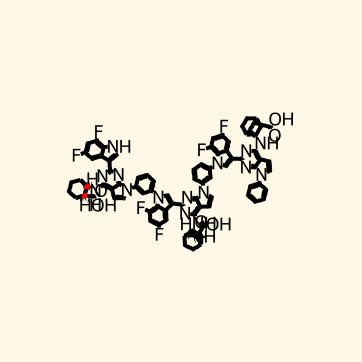 O=C(O)C1C2CCC(CC2)C1Nc1nc(-c2cn(-c3cccc(-n4ccc5c(N[C@@H]6C7CCC(CC7)[C@H]6C(=O)O)nc(-c6cn(-c7cccc(-n8ccc9c(N[C@@H]%10C%11CCC(CC%11)[C@H]%10C(=O)O)nc(-c%10c[nH]c%11c(F)cc(F)cc%10%11)nc98)c7)c7c(F)cc(F)cc67)nc54)c3)c3c(F)cc(F)cc23)nc2c1ccn2-c1ccccc1